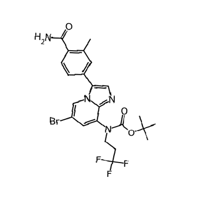 Cc1cc(-c2cnc3c(N(CCC(F)(F)F)C(=O)OC(C)(C)C)cc(Br)cn23)ccc1C(N)=O